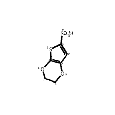 O=S(=O)(O)c1cc2c(s1)OCCO2